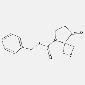 O=C(OCc1ccccc1)N1CCC(=O)C12COC2